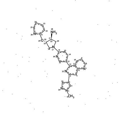 Cn1cc(-c2cc3ncccc3c(-c3ccc(N4C[C@H](Oc5ccccn5)[C@@H](N)C4)nc3)n2)cn1